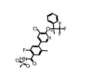 Cc1cc(C(=O)NS(C)(=O)=O)c(F)cc1-c1cnc(O[C@](C)(c2ccccc2)C(F)(F)F)c(Cl)c1